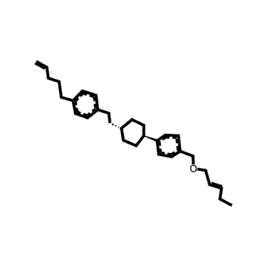 C=CCCCc1ccc(CC[C@H]2CC[C@H](c3ccc(COCC=CCC)cc3)CC2)cc1